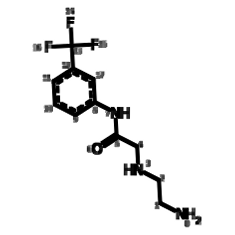 NCCNCC(=O)Nc1cccc(C(F)(F)F)c1